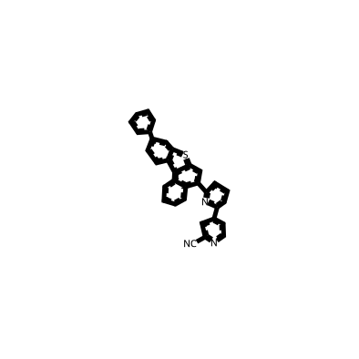 N#Cc1cc(-c2cccc(-c3cc4sc5cc(-c6ccccc6)ccc5c4c4ccccc34)n2)ccn1